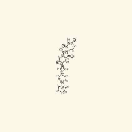 O=C1CCC(N2C(=O)c3cc(F)c(N4CC(N5CCN(C6CCCCC6)CC5)C4)cc3C2=O)C(=O)N1